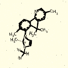 [2H]C([2H])([2H])N1C=CN(c2c(C)ccc3c2C(C)(C)c2cc(C)cnc2-3)[C@H]1C